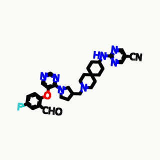 N#Cc1cnc(NC2CCC3(CC2)CCN(CC2CCN(c4ncncc4Oc4ccc(F)cc4C=O)C2)CC3)nc1